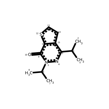 CC(C)c1nn(C(C)C)c(=O)c2sccc12